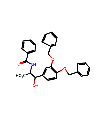 O=C(N[C@H](C(=O)O)C(O)c1ccc(OCc2ccccc2)c(OCc2ccccc2)c1)c1ccccc1